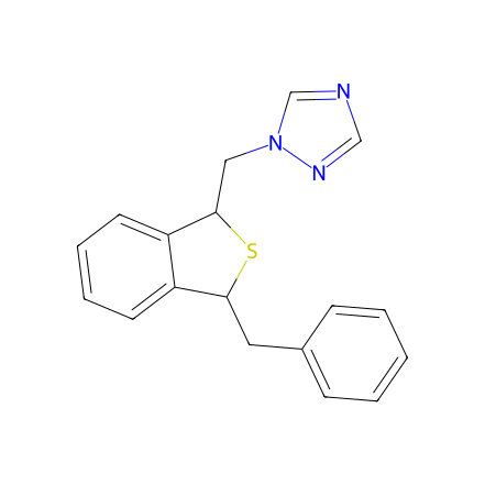 c1ccc(CC2SC(Cn3cncn3)c3ccccc32)cc1